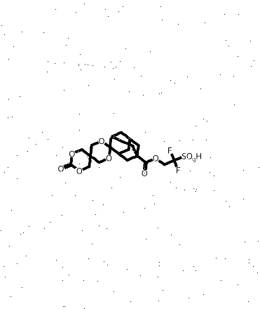 O=C1OCC2(CO1)COC1(OC2)C2CC3CC1CC(C(=O)OCC(F)(F)S(=O)(=O)O)(C3)C2